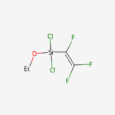 CCO[Si](Cl)(Cl)C(F)=C(F)F